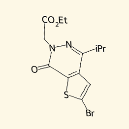 CCOC(=O)Cn1nc(C(C)C)c2cc(Br)sc2c1=O